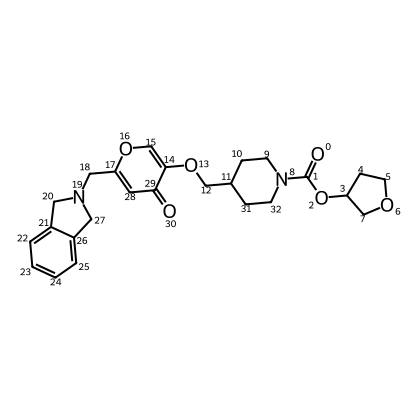 O=C(OC1CCOC1)N1CCC(COc2coc(CN3Cc4ccccc4C3)cc2=O)CC1